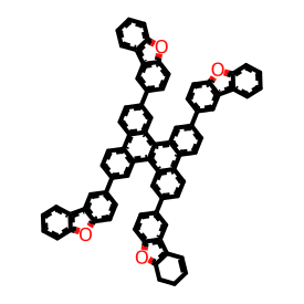 C1=Cc2c(oc3ccc(-c4ccc5c6ccc(-c7ccc8oc9ccccc9c8c7)cc6c6c7cc(-c8ccc9oc%10ccccc%10c9c8)ccc7c7ccc(-c8ccc9oc%10ccccc%10c9c8)cc7c6c5c4)cc23)CC1